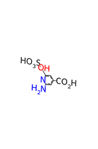 Cc1cc(C(=O)O)cc(N)n1.O=S(=O)(O)O